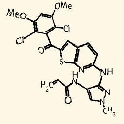 C=CC(=O)Nc1cn(C)nc1Nc1ccc2cc(C(=O)c3c(Cl)c(OC)cc(OC)c3Cl)sc2n1